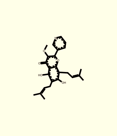 COc1c(-c2cccnc2)oc2c(CC=C(C)C)c(O)c(CC=C(C)C)c(O)c2c1=O